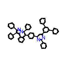 c1ccc(-c2cc(-c3ccccc3)cc(-c3cc(-c4ccc(-c5c(-c6ccccc6)n6nc(-c7ccccc7)c(-c7ccccc7)c6c6ccccc56)cc4)nc(-c4ccccc4)n3)c2)cc1